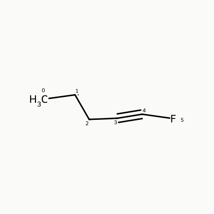 C[CH]CC#CF